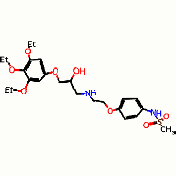 CCOc1cc(OCC(O)CNCCOc2ccc(NS(C)(=O)=O)cc2)cc(OCC)c1OCC